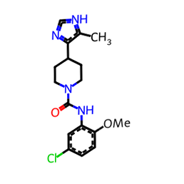 COc1ccc(Cl)cc1NC(=O)N1CCC(c2nc[nH]c2C)CC1